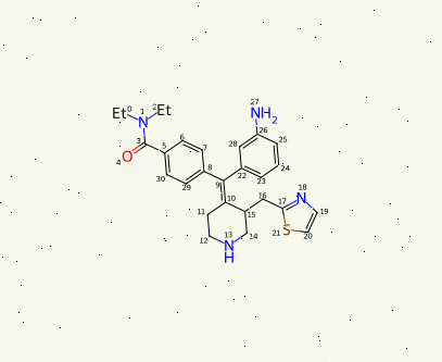 CCN(CC)C(=O)c1ccc(C(=C2CCNCC2Cc2nccs2)c2cccc(N)c2)cc1